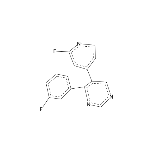 Fc1cccc(-c2ncncc2-c2ccnc(F)c2)c1